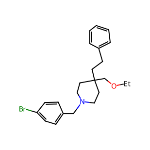 CCOCC1(CCc2ccccc2)CCN(Cc2ccc(Br)cc2)CC1